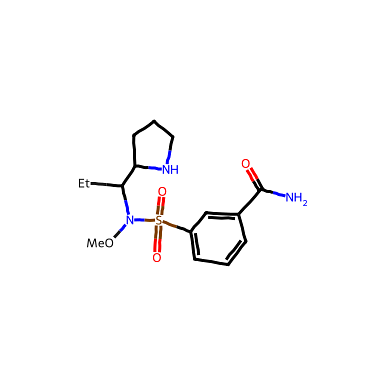 CCC(C1CCCN1)N(OC)S(=O)(=O)c1cccc(C(N)=O)c1